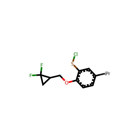 CC(C)c1ccc(OCC2CC2(F)F)c(SCl)c1